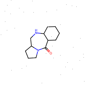 O=C1C2CCCCC2NCC2CCCN12